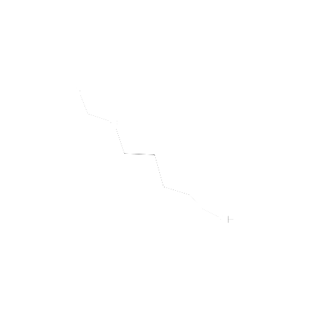 CCCCCCOC[S]